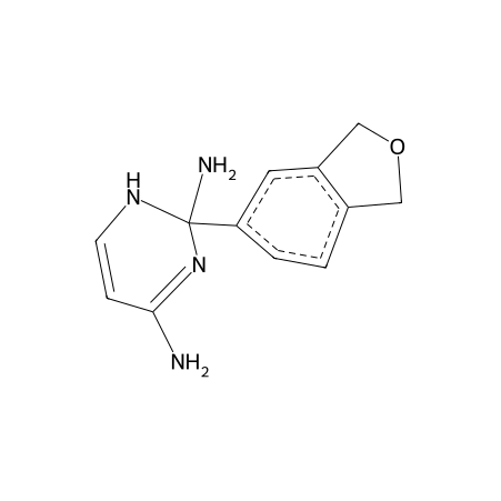 NC1=NC(N)(c2ccc3c(c2)COC3)NC=C1